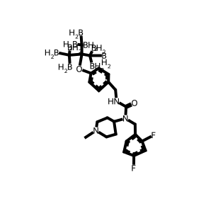 BC(B)(B)C(Oc1ccc(CNC(=O)N(Cc2ccc(F)cc2F)C2CCN(C)CC2)cc1)(C(B)(B)B)C(B)(B)B